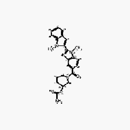 Cn1c(-c2nc3cc(C(=O)N4CCC[C@H](OC(N)=O)C4)ccc3n2C)cc2ccccc21